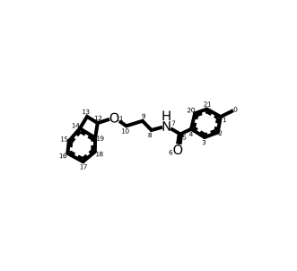 Cc1ccc(C(=O)NCCCOC2Cc3ccccc32)cc1